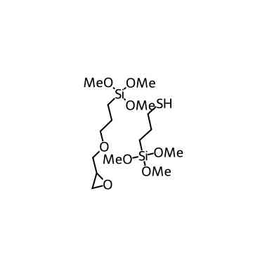 CO[Si](CCCOCC1CO1)(OC)OC.CO[Si](CCCS)(OC)OC